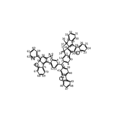 CC1(C)c2cc(C(c3ccc4c(c3)C(C)(C)c3c5c(c6c(oc7ccccc76)c3-4)-c3ccccc3C5(C)C)c3ccc4c(c3)oc3ccccc34)ccc2-c2c1cc(-c1ccccn1)c1oc3ccccc3c21